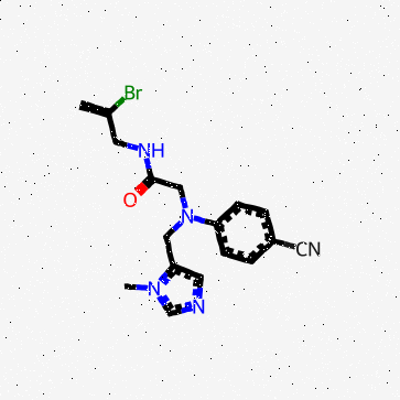 C=C(Br)CNC(=O)CN(Cc1cncn1C)c1ccc(C#N)cc1